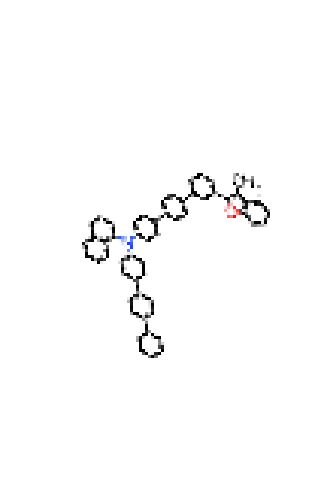 Cc1c(-c2cccc(-c3ccc(-c4ccc(N(c5ccc(-c6ccc(-c7ccccc7)cc6)cc5)c5cccc6ccccc56)cc4)cc3)c2)oc2ccccc12